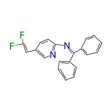 FC(F)=Cc1ccc(N=C(c2ccccc2)c2ccccc2)nc1